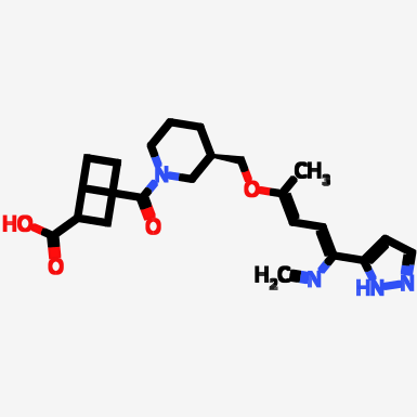 C=N/C(=C\C=C(/C)OC[C@@H]1CCCN(C(=O)C23CCC2C(C(=O)O)C3)C1)c1ccn[nH]1